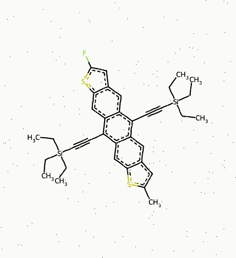 CC[Si](C#Cc1c2cc3cc(C)sc3cc2c(C#C[Si](CC)(CC)CC)c2cc3sc(F)cc3cc12)(CC)CC